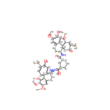 COc1cc2c(c(OC)c1OC)-c1ccc(SC)c(=O)cc1[C@@H](NC(=O)[C@@H]1CCC[C@H](C(=O)N[C@H]3CCc4cc(OC)c(OC)c(OC)c4-c4ccc(SC)c(=O)cc43)C1)CC2